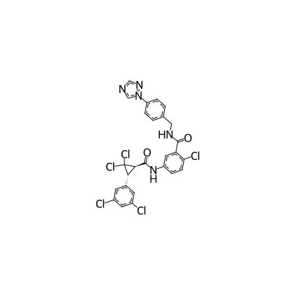 O=C(NCc1ccc(-n2cncn2)cc1)c1cc(NC(=O)[C@H]2[C@H](c3cc(Cl)cc(Cl)c3)C2(Cl)Cl)ccc1Cl